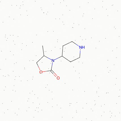 CC1COC(=O)N1C1CCNCC1